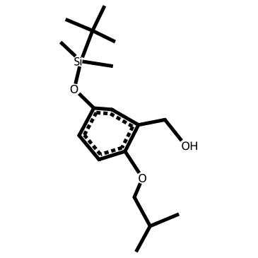 CC(C)COc1ccc(O[Si](C)(C)C(C)(C)C)cc1CO